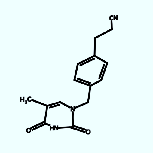 Cc1cn(Cc2ccc(CCC#N)cc2)c(=O)[nH]c1=O